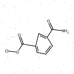 NC(=O)c1cccc(C(=O)OCl)c1